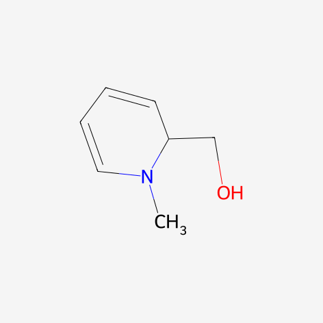 CN1C=CC=CC1CO